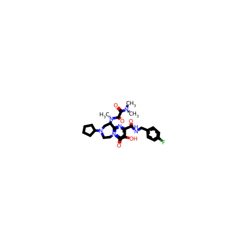 CN(C)C(=O)C(=O)N(C)C1CN(C2CCCC2)CCn2c1nc(C(=O)NCc1ccc(F)cc1)c(O)c2=O